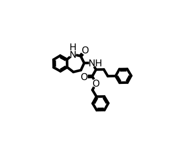 O=C1Nc2ccccc2CCC1NC(CCc1ccccc1)C(=O)OCc1ccccc1